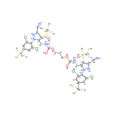 N#Cc1nn(-c2c(Cl)cc(C(F)(F)F)cc2Cl)c(CNC(=O)OCCCOC(=O)NCc2c([S+]([O-])C(F)(F)F)c(C#N)nn2-c2c(Cl)cc(C(F)(F)F)cc2Cl)c1[S+]([O-])C(F)(F)F